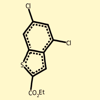 CCOC(=O)c1cc2c(Cl)cc(Cl)cc2s1